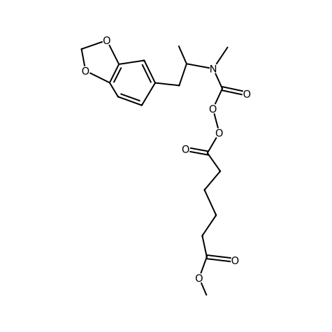 COC(=O)CCCCC(=O)OOC(=O)N(C)C(C)Cc1ccc2c(c1)OCO2